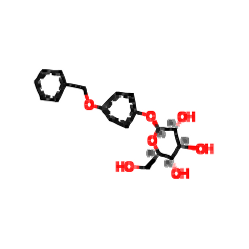 OC[C@H]1O[C@@H](Oc2ccc(OCc3ccccc3)cc2)[C@H](O)[C@@H](O)[C@@H]1O